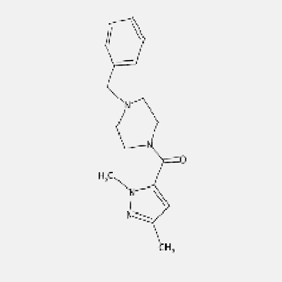 Cc1cc(C(=O)N2CCN(Cc3ccccc3)CC2)n(C)n1